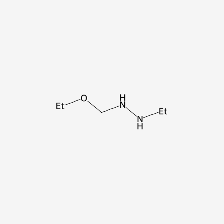 CCNNCOCC